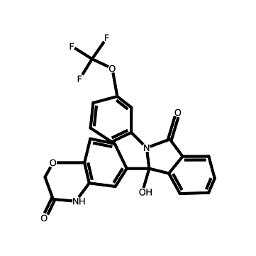 O=C1COc2ccc(C3(O)c4ccccc4C(=O)N3c3cccc(OC(F)(F)F)c3)cc2N1